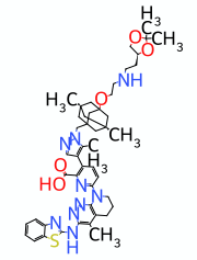 Cc1c(Nc2nc3ccccc3s2)nnc2c1CCCN2c1ccc(-c2cnn(CC34CC5(OCCNCC[C@H]6COC(C)(C)O6)C[C@](C)(C3)C[C@](C)(C4)C5)c2C)c(C(=O)O)n1